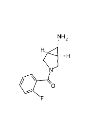 N[C@@H]1[C@H]2CN(C(=O)c3ccccc3F)C[C@@H]12